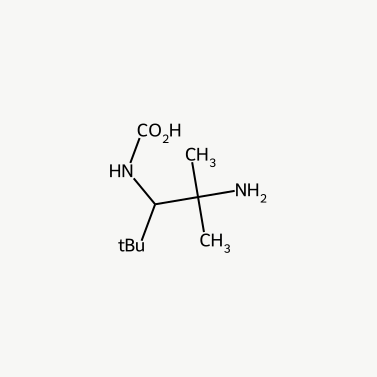 CC(C)(C)C(NC(=O)O)C(C)(C)N